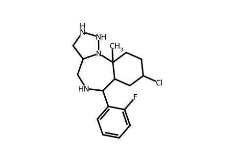 CC12CCC(Cl)CC1C(c1ccccc1F)NCC1CNNN12